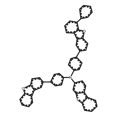 c1ccc(-c2cccc3c2oc2ccc(-c4ccc(N(c5ccc(-c6ccc7oc8ccccc8c7c6)cc5)c5ccc6c(c5)sc5ccccc56)cc4)cc23)cc1